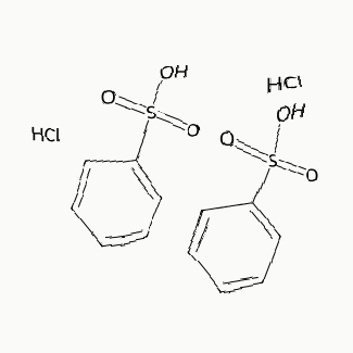 Cl.Cl.O=S(=O)(O)c1ccccc1.O=S(=O)(O)c1ccccc1